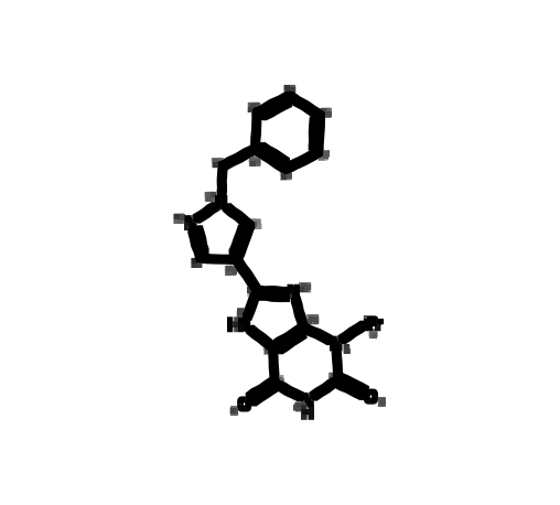 CC(C)n1c(=O)[nH]c(=O)c2[nH]c(-c3cnn(Cc4ccccc4)c3)nc21